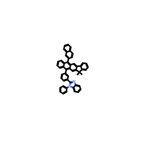 CC1(C)c2ccccc2-c2cc3c(-c4ccc5ccccc5c4)c4ccccc4c(-c4cccc(-c5nc6ccccc6n5-c5ccccc5)c4)c3cc21